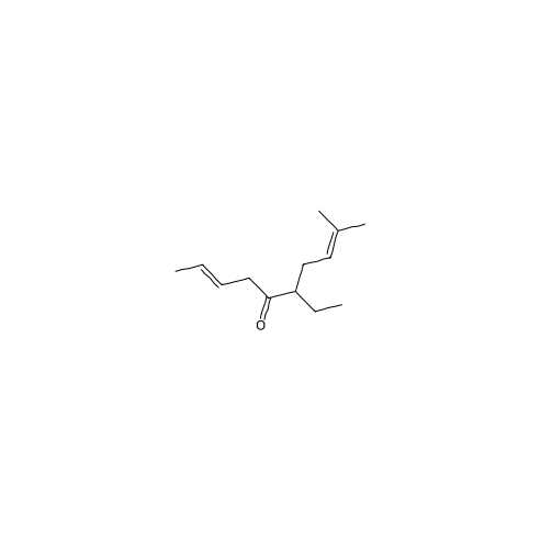 CC=CCC(=O)C(CC)CC=C(C)C